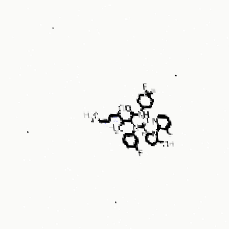 C=C(/C(Cl)=C\C=C/C)[C@@H](C(=O)NC1CCC(F)(F)CC1)N(C(=O)[C@@H]1CCC(O)N1c1ncccc1F)c1cccc(F)c1